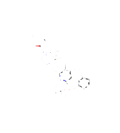 [2H]C([2H])([2H])Oc1nc2c(c(Cl)c1-c1c(O)cccc1Cl)OC[C@H]1CN(C(=O)C=C)CCN1C2